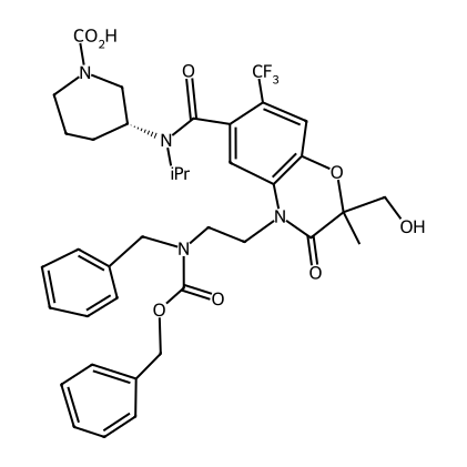 CC(C)N(C(=O)c1cc2c(cc1C(F)(F)F)OC(C)(CO)C(=O)N2CCN(Cc1ccccc1)C(=O)OCc1ccccc1)[C@@H]1CCCN(C(=O)O)C1